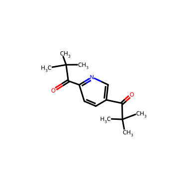 CC(C)(C)C(=O)c1ccc(C(=O)C(C)(C)C)nc1